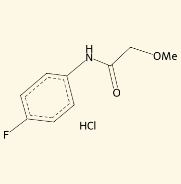 COCC(=O)Nc1ccc(F)cc1.Cl